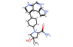 CC1(O)CC(C(N)=O)N(C2CCC(c3ccnc4cnc5[nH]ccc5c34)CC2)C1